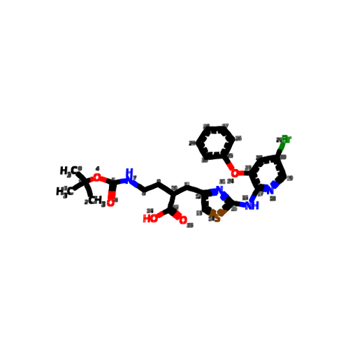 CC(C)(C)OC(=O)NCCC(Cc1csc(Nc2ncc(Br)cc2Oc2ccccc2)n1)C(=O)O